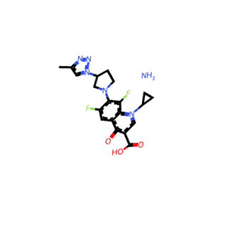 Cc1cn(C2CCN(c3c(F)cc4c(=O)c(C(=O)O)cn(C5CC5)c4c3F)C2)nn1.N